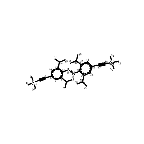 CC(C)c1cc(C#C[Si](C)(C)C)cc(C(C)C)c1N=Nc1c(C(C)C)cc(C#C[Si](C)(C)C)cc1C(C)C